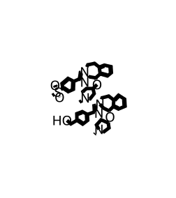 CN1CCC(OC2c3ccccc3CCn3cc(-c4ccc(CO)cc4)nc32)CC1.CN1CCC(OC2c3ccccc3CCn3cc(-c4ccc(S(C)(=O)=O)cc4)nc32)CC1